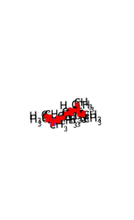 CN(c1ccc([Si](C)(C)C)cc1)c1ccc([Si](C)(C)CC[Si](C)(C)c2ccc(-c3cc(-c4ccc([Si](C)(C)C)cc4)cc(C(C)(C)C)c3)cc2)cc1